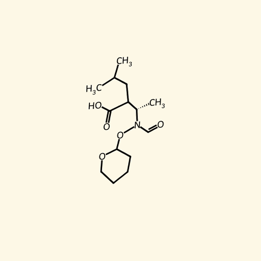 CC(C)CC(C(=O)O)[C@H](C)N(C=O)OC1CCCCO1